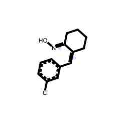 O/N=C1\CCCC\C1=C\c1cccc(Cl)c1